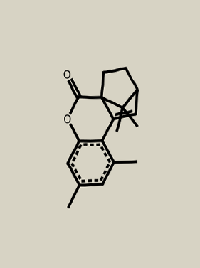 Cc1cc(C)c2c(c1)OC(=O)C13CCC(C=C21)C3(C)C